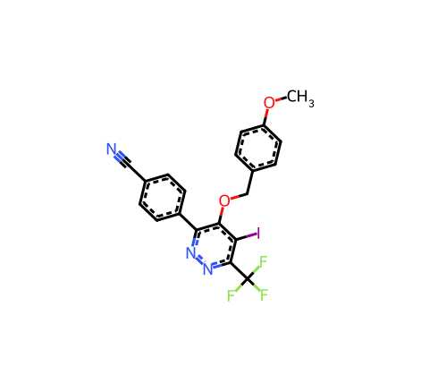 COc1ccc(COc2c(-c3ccc(C#N)cc3)nnc(C(F)(F)F)c2I)cc1